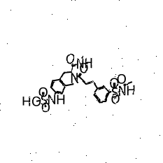 CNC(=O)[C@@H]1Cc2ccc(NS(=O)(=O)O)cc2CN1C(=O)CCc1cccc(S(=O)(=O)NC(C)=O)c1